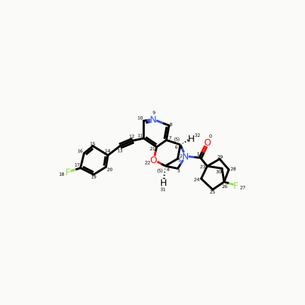 O=C(N1C[C@@H]2C[C@H]1c1cncc(C#Cc3ccc(F)cc3)c1O2)C12CCC(F)(CC1)C2